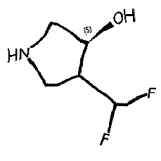 O[C@@H]1CNCC1C(F)F